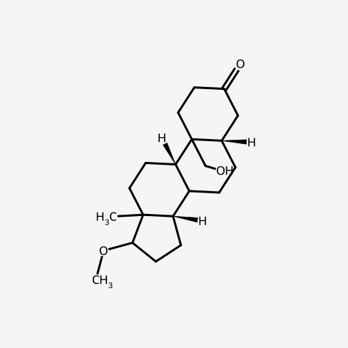 COC1CC[C@H]2C3CC[C@H]4CC(=O)CCC4(CO)[C@H]3CCC12C